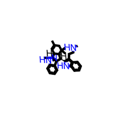 CNCCc1c([C@@H]2[C@@H]3[C@H](C=C(C)CC3(C)C)[C@]34Nc5ccccc5[C@]23CCN4C)[nH]c2ccccc12